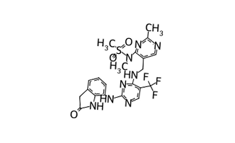 Cc1ncc(CNc2nc(Nc3cccc4c3NC(=O)C4)ncc2C(F)(F)F)c(N(C)S(C)(=O)=O)n1